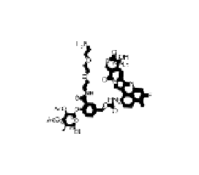 CC[C@H]1O[C@@H](Oc2ccc(COC(=O)N[C@H]3CCc4c(C)c(F)cc5nc6c(c3c45)Cn3c-6cc4c(c3=O)COC(=O)[C@]4(O)CC)cc2C(=O)NCCOCCOCCN)[C@H](OC(C)=O)[C@@H](OC(C)=O)[C@@H]1C